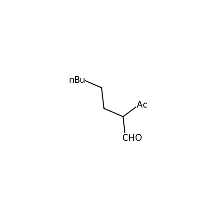 CCCCCCC(C=O)C(C)=O